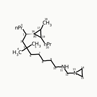 CCCC(CC(C)(C)CCCCCNCN1CC1)[C@@H]1C(C)C1CCC